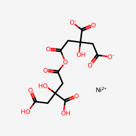 O=C([O-])CC(O)(CC(=O)OC(=O)CC(O)(CC(=O)O)C(=O)O)C(=O)[O-].[Ni+2]